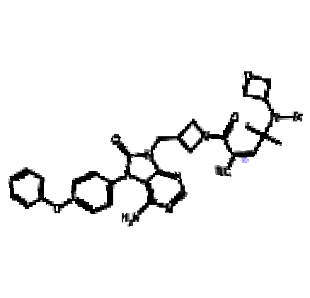 CCN(C1COC1)C(C)(C)/C=C(/C#N)C(=O)N1CC(Cn2c(=O)n(-c3ccc(Oc4ccccc4)cc3)c3c(N)ncnc32)C1